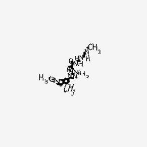 CCNCCNCCNC(=O)c1cnn(-c2nc(-c3cc(C)c4c(c3)CN(C)CC4)cnc2N)c1